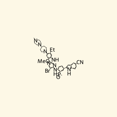 CCc1cc(Nc2ncc(Br)c(Nc3ccc(-c4cc5cc(C#N)ccc5[nH]4)cc3P(C)(C)=O)n2)c(OC)cc1N1CCC(N2CCN(C)CC2)CC1